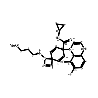 COCCCNN1N=NC12C=CC(C(=O)NC1CC1)(N1C=CNc3ccc(F)c(F)c31)C=C2